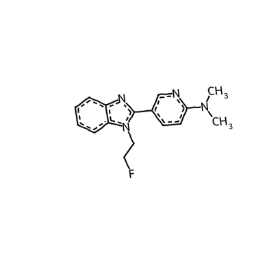 CN(C)c1ccc(-c2nc3ccccc3n2CCF)cn1